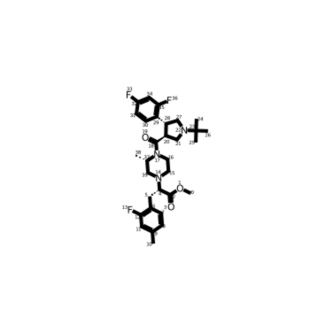 COC(=O)[C@H](Cc1ccc(C)cc1F)N1CCN(C(=O)[C@@H]2CN(C(C)(C)C)C[C@H]2c2ccc(F)cc2F)[C@@H](C)C1